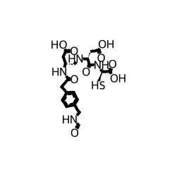 O=CNCc1ccc(CC(=O)N[C@@H](CN[C@H](CC(=O)O)C(=O)N[C@H](CS)C(=O)O)CC(=O)O)cc1